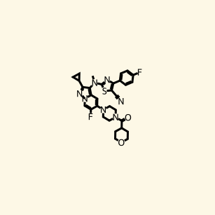 CN(c1nc(-c2ccc(F)cc2)c(C#N)s1)c1c(C2CC2)nn2cc(F)c(N3CCN(C(=O)C4CCOCC4)CC3)cc12